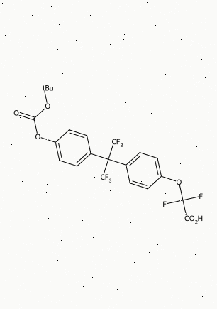 CC(C)(C)OC(=O)Oc1ccc(C(c2ccc(OC(F)(F)C(=O)O)cc2)(C(F)(F)F)C(F)(F)F)cc1